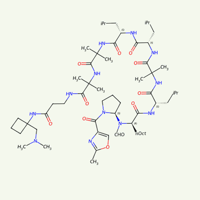 CCCCCCCC[C@H](C(=O)N[C@@H](CC(C)C)C(=O)NC(C)(C)C(=O)N[C@@H](CC(C)C)C(=O)N[C@@H](CC(C)C)C(=O)NC(C)(C)C(=O)NC(C)(C)C(=O)NCCC(=O)NC1(CN(C)C)CCC1)N(C=O)[C@@H]1CCCN1C(=O)c1coc(C)n1